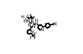 CC(Nc1nc(Nc2ccnc(-c3ccc(C#N)cc3)c2)nc(-c2cccc(C(F)(F)F)n2)n1)C(F)(F)F